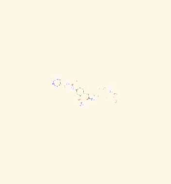 CC(C)OC(=O)NC1CCC(c2ncc(-c3ccc(NC(=O)N4CCc5ncncc5C4)cc3S(=O)(=O)NC(C)(C)C)s2)CC1